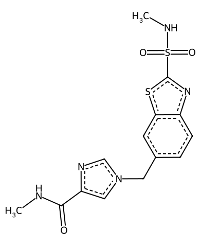 CNC(=O)c1cn(Cc2ccc3nc(S(=O)(=O)NC)sc3c2)cn1